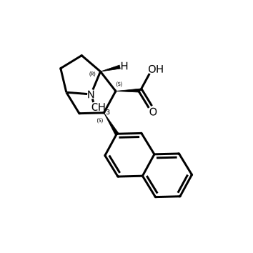 CN1C2CC[C@@H]1[C@@H](C(=O)O)[C@@H](c1ccc3ccccc3c1)C2